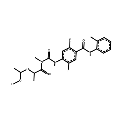 CCOC(C)OC(C)C(=N)N(C)C(=O)Nc1cc(F)c(C(=O)Nc2ccccc2C)cc1F